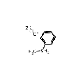 C[SiH2]c1ccccc1.[Cl-].[Cl-].[Zr+2]